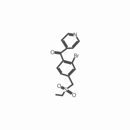 CCS(=O)(=O)Cc1ccc(C(=O)c2ccncc2)c(Br)c1